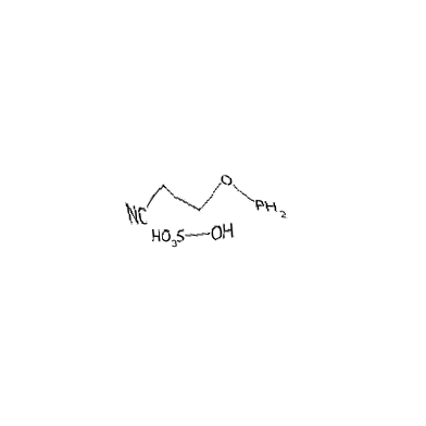 N#CCCOP.O=S(=O)(O)O